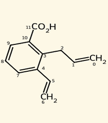 C=CCc1c(C=C)cccc1C(=O)O